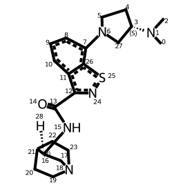 CN(C)[C@H]1CCN(c2cccc3c(C(=O)N[C@H]4CN5CCC4CC5)nsc23)C1